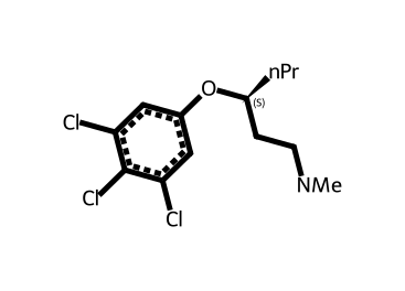 CCC[C@@H](CCNC)Oc1cc(Cl)c(Cl)c(Cl)c1